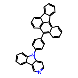 c1ccc2c(c1)-c1cccc3c(-c4ccc(-n5c6ccccc6c6cnccc65)cc4)c4ccccc4c-2c13